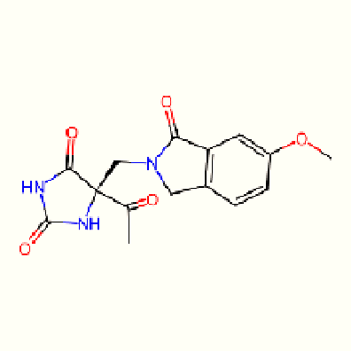 COc1ccc2c(c1)C(=O)N(C[C@@]1(C(C)=O)NC(=O)NC1=O)C2